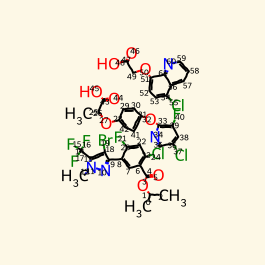 CC(C)OC(=O)c1cc(-c2nn(C)c(C(F)(F)F)c2Br)c(F)cc1Cl.C[C@@H](Oc1ccc(Oc2ncc(Cl)cc2F)cc1)C(=O)O.O=C(O)COc1ccc(Cl)c2cccnc12